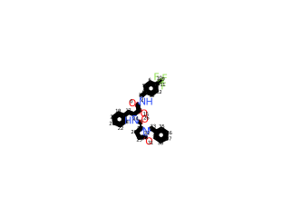 O=C(NCc1ccc(C(F)(F)F)cc1)C(=O)C(Cc1ccccc1)NC(=O)[C@@H]1CCC(=O)N1Cc1ccccc1